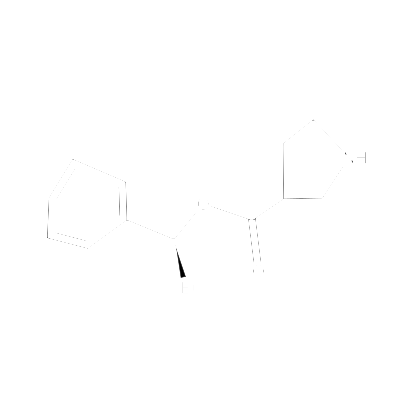 CC[C@H](OC(=O)C1CCNC1)c1ccccc1